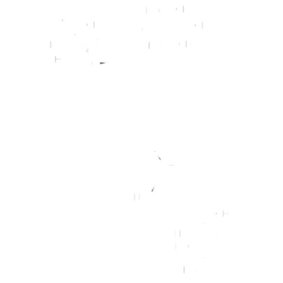 C[C@H](CC#CC(C)(C)O[Si](C)(C)C)C1=CCC[C@H]2C(=CC=C3C[C@@H](O[Si](C)(C)C(C)(C)C)C[C@H](O[Si](C)(C)C(C)(C)C)C3)CCC[C@]12C